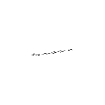 [C]#CC#CC#CC#CCCCCC